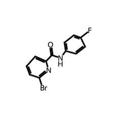 O=C(Nc1ccc(F)cc1)c1cccc(Br)n1